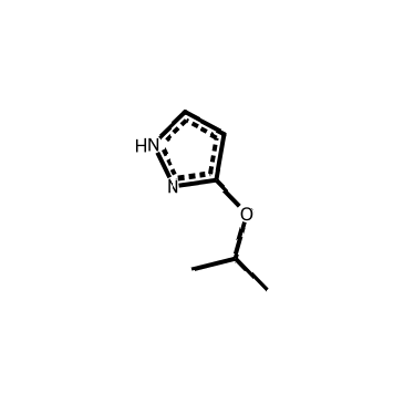 CC(C)Oc1cc[nH]n1